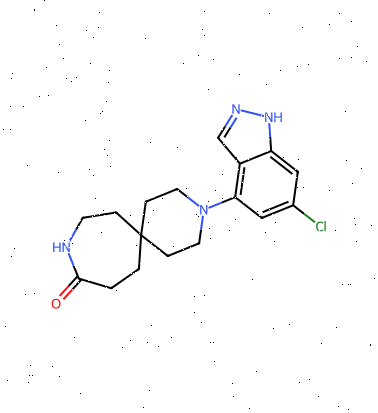 O=C1CCC2(CCN1)CCN(c1cc(Cl)cc3[nH]ncc13)CC2